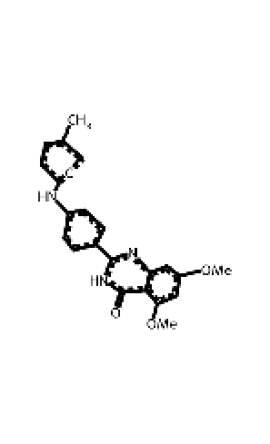 COc1cc(OC)c2c(=O)[nH]c(-c3ccc(Nc4ccc(C)cc4)cc3)nc2c1